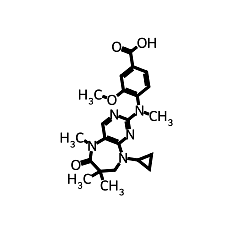 COc1cc(C(=O)O)ccc1N(C)c1ncc2c(n1)N(C1CC1)CC(C)(C)C(=O)N2C